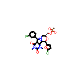 Cn1c(=O)c2c(-c3cccc(F)c3)n3c(c2n(C)c1=O)C(c1ccc(Cl)o1)O[C@@H](COS(C)(=O)=O)C3